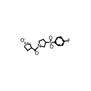 O=C(C1CC[S+]([O-])C1)N1CCC(S(=O)(=O)c2ccc(F)cc2)C1